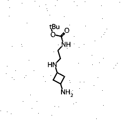 CC(C)(C)OC(=O)NCCNC1CC(N)C1